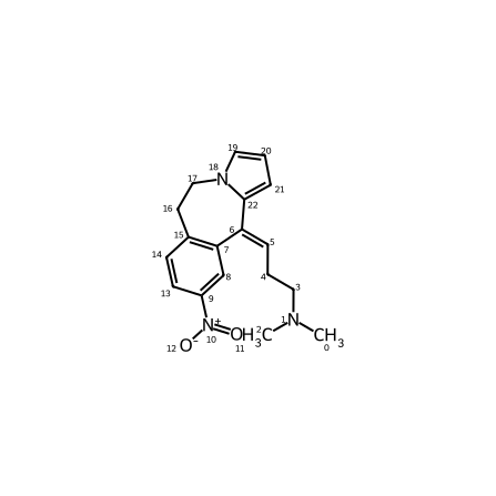 CN(C)CC/C=C1\c2cc([N+](=O)[O-])ccc2CCn2cccc21